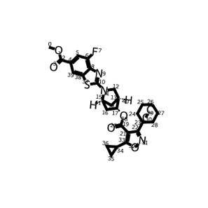 COC(=O)c1cc(F)c2nc(N3C[C@@H]4C[C@H]3C[C@H]4OC(=O)c3c(C45CCC(CC4)CC5)noc3C3CC3)sc2c1